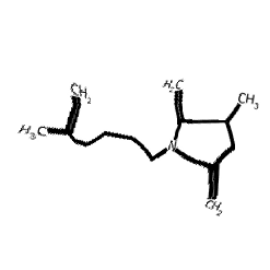 C=C(C)CCCN1C(=C)CC(C)C1=C